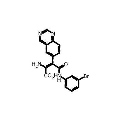 NC(C(=O)O)=C(C(=O)Nc1cccc(Br)c1)c1ccc2ncncc2c1